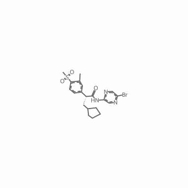 Cc1cc([C@@H](CC2CCCC2)C(=O)Nc2cnc(Br)cn2)ccc1S(C)(=O)=O